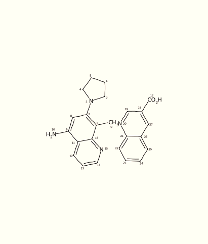 Cc1c(N2CCCC2)cc(N)c2cccnc12.O=C(O)c1cnc2ccccc2c1